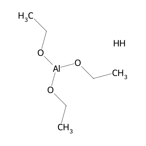 CC[O][Al]([O]CC)[O]CC.[HH]